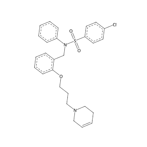 O=S(=O)(c1ccc(Cl)cc1)N(Cc1ccccc1OCCCN1CC=CCC1)c1ccccc1